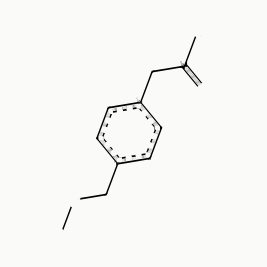 COCc1ccc(CC(C)=O)cc1